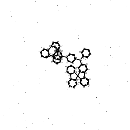 c1ccc(N(c2ccc(-c3ccc4c(c3)-c3c5cccc3-c3cccc-4c3-c3ccccc3-5)cc2)c2ccc3c(c2)C2(c4ccccc4-c4ccccc42)c2ccccc2-3)cc1